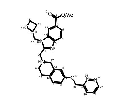 COC(=O)c1ccc2nc(CN3CCc4ccc(OCc5cccnn5)cc4C3)n(C[C@@H]3CCO3)c2c1